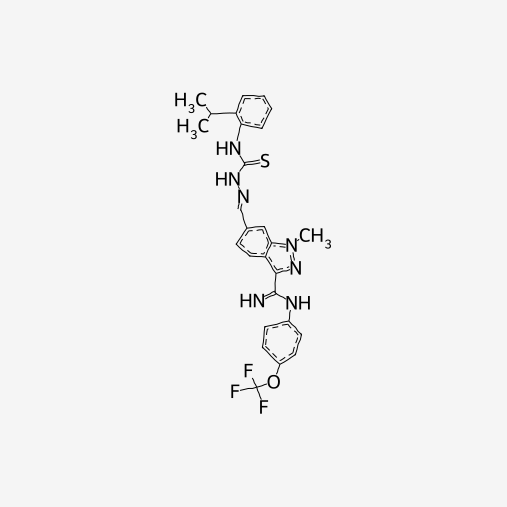 CC(C)c1ccccc1NC(=S)NN=Cc1ccc2c(C(=N)Nc3ccc(OC(F)(F)F)cc3)nn(C)c2c1